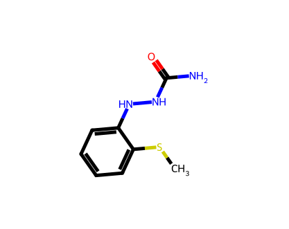 CSc1ccccc1NNC(N)=O